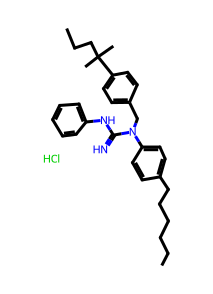 CCCCCCc1ccc(N(Cc2ccc(C(C)(C)CCC)cc2)C(=N)Nc2ccccc2)cc1.Cl